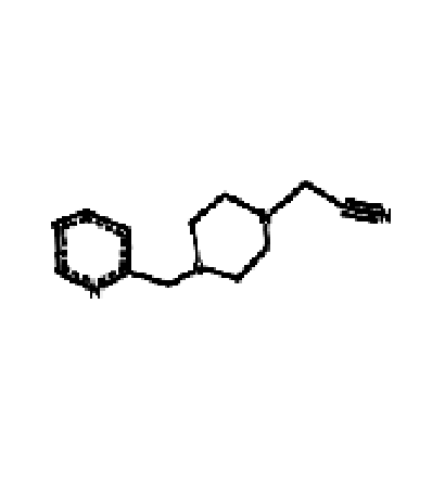 N#CCN1CCN(Cc2ccccn2)CC1